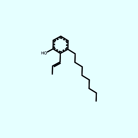 CC=Cc1c(O)cccc1CCCCCCCC